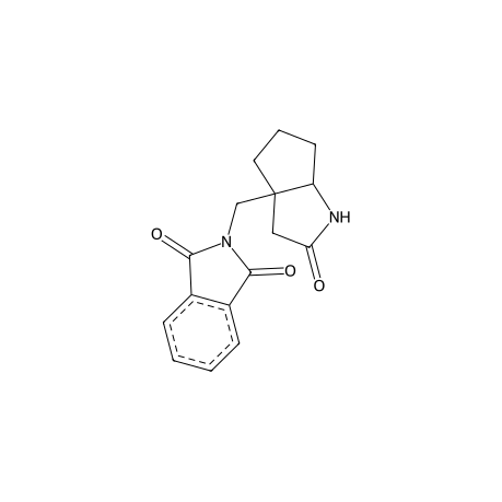 O=C1CC2(CN3C(=O)c4ccccc4C3=O)CCCC2N1